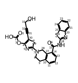 O=C(O)Oc1nc(N2CCc3cccc(C(=O)Nc4nc5ccccc5s4)c3C2)sc1C#CCO